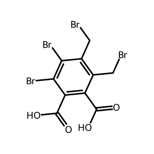 O=C(O)c1c(Br)c(Br)c(CBr)c(CBr)c1C(=O)O